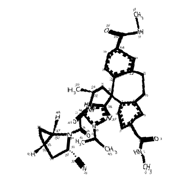 CNC(=O)c1ccc2c(c1)CCc1cc(C(=O)NC)ccc1C2(C[C@H](C)NCC(=O)N1[C@H](C#N)C[C@@H]2C[C@@H]21)c1nn(C(C)C)c(=O)[nH]1